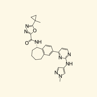 Cn1cc(Nc2nccc(-c3ccc4c(c3)CCCC[C@@H]4NC(=O)c3nnc(C4(C)CC4)o3)n2)cn1